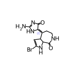 NC1=NC(=O)/C(=C2\CCNC(=O)C3NC(Br)=CC23)N1